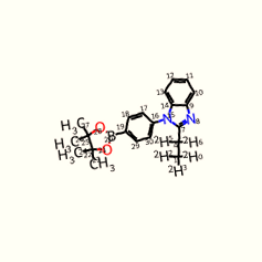 [2H]C([2H])([2H])C([2H])([2H])c1nc2ccccc2n1-c1ccc(B2OC(C)(C)C(C)(C)O2)cc1